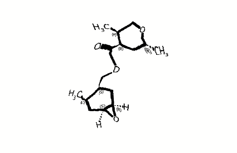 C[C@@H]1C[C@@H](C(=O)OC[C@H]2C[C@H]3O[C@H]3C[C@H]2C)[C@@H](C)CO1